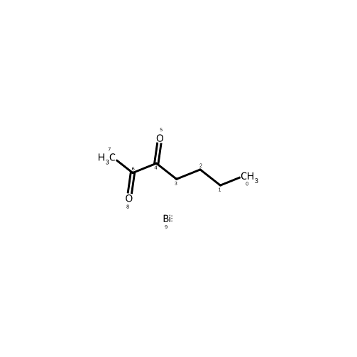 CCCCC(=O)C(C)=O.[Bi]